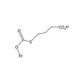 CCOC(=O)SCCCC(=O)O